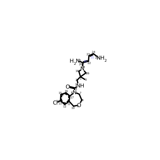 CC1(CNC(=O)N2CCOCc3cc(Cl)ccc32)CN(/C(N)=C/C=C\N)C1